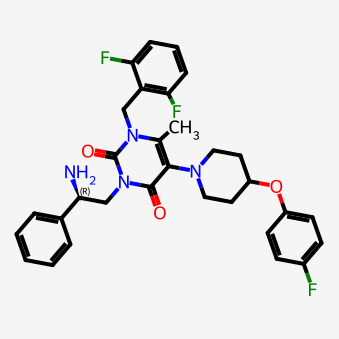 Cc1c(N2CCC(Oc3ccc(F)cc3)CC2)c(=O)n(C[C@H](N)c2ccccc2)c(=O)n1Cc1c(F)cccc1F